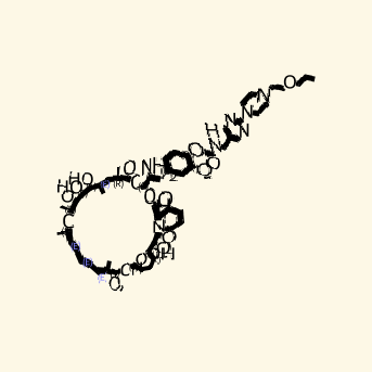 CCCOCCN1CCN(c2ncc(CNC(=O)O[C@@H]3CC[C@@H](C[C@@H](N)[C@@H]4CC(=O)[C@H](C)/C=C(\C)[C@@H](O)[C@@H](O)C(=O)[C@H](C)C[C@H](C)/C=C/C=C/C=C(\C)[C@@H](OC)C[C@@H]5CC[C@@H](C)[C@@](O)(O5)C(=O)C(=O)N5CCCC[C@H]5C(=O)O4)C[C@H]3OC)cn2)CC1